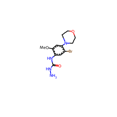 COc1cc(N2CCOCC2)c(Br)cc1NC(=O)NN